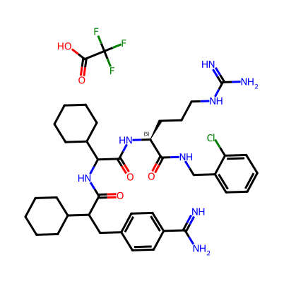 N=C(N)NCCC[C@H](NC(=O)C(NC(=O)C(Cc1ccc(C(=N)N)cc1)C1CCCCC1)C1CCCCC1)C(=O)NCc1ccccc1Cl.O=C(O)C(F)(F)F